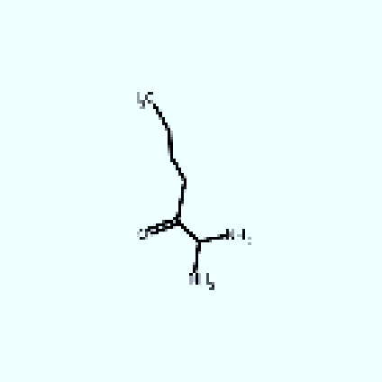 CCCCC(=O)C(N)N